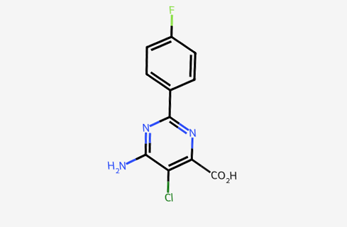 Nc1nc(-c2ccc(F)cc2)nc(C(=O)O)c1Cl